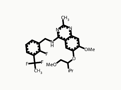 COCC(Oc1cc2c(NCc3cccc(C(C)(F)F)c3F)nc(C)nc2cc1OC)C(C)C